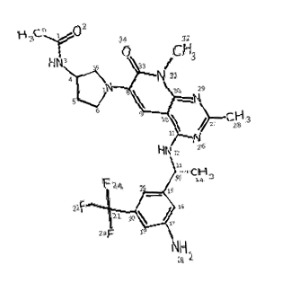 CC(=O)NC1CCN(c2cc3c(N[C@H](C)c4cc(N)cc(C(F)(F)F)c4)nc(C)nc3n(C)c2=O)C1